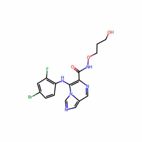 O=C(NOCCCO)c1ncc2cncn2c1Nc1ccc(Br)cc1F